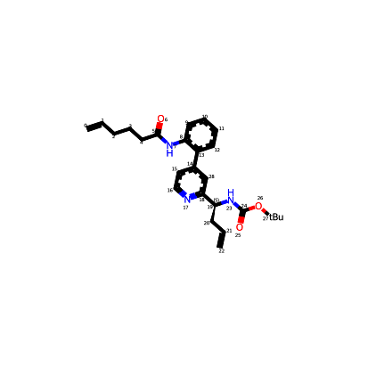 C=CCCCC(=O)Nc1ccccc1-c1ccnc([C@H](CC=C)NC(=O)OC(C)(C)C)c1